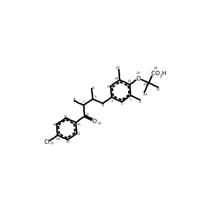 Cc1cc(CC(C)C(C)C(=O)c2ccc(Cl)cc2)cc(C)c1OC(C)(C)C(=O)O